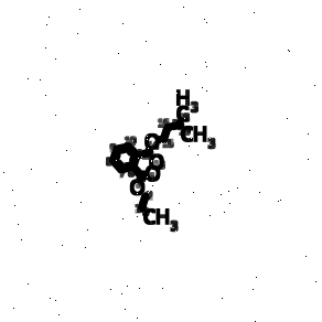 CCCOC(=O)c1ccccc1C(=O)OCCC(C)C